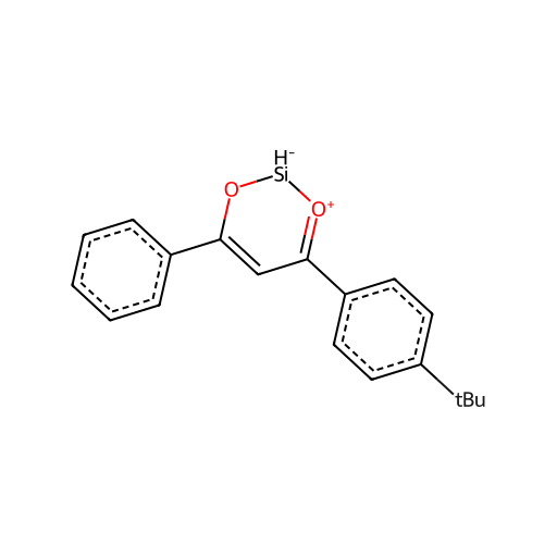 CC(C)(C)c1ccc(C2=[O+][SiH-]OC(c3ccccc3)=C2)cc1